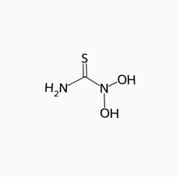 NC(=S)N(O)O